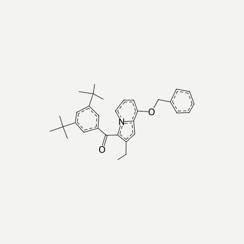 CCc1cc2c(OCc3ccccc3)cccn2c1C(=O)c1cc(C(C)(C)C)cc(C(C)(C)C)c1